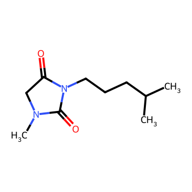 CC(C)CCCN1C(=O)CN(C)C1=O